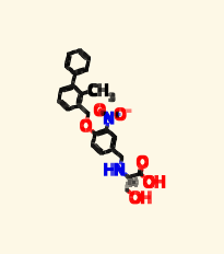 Cc1c(COc2ccc(CN[C@@H](CO)C(=O)O)cc2[N+](=O)[O-])cccc1-c1ccccc1